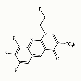 CCOC(=O)c1cn(CCF)c2nc3c(F)c(F)c(F)cc3cc2c1=O